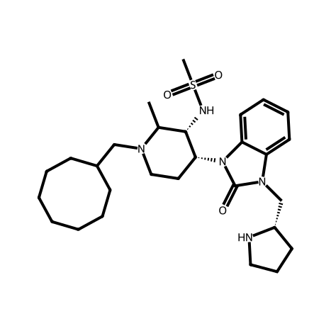 CC1[C@H](NS(C)(=O)=O)[C@H](n2c(=O)n(C[C@@H]3CCCN3)c3ccccc32)CCN1CC1CCCCCCC1